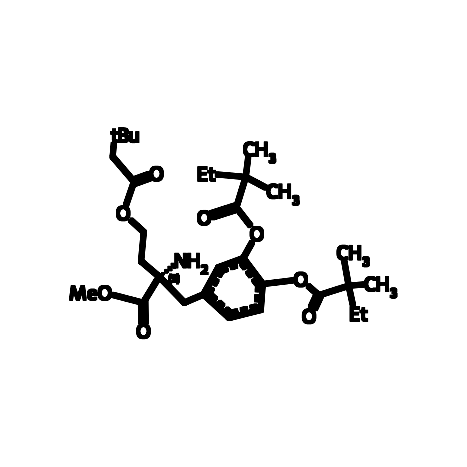 CCC(C)(C)C(=O)Oc1ccc(C[C@](N)(CCOC(=O)CC(C)(C)C)C(=O)OC)cc1OC(=O)C(C)(C)CC